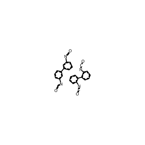 O=C=Nc1cccc(-c2cccc(N=C=O)c2)c1.O=C=Nc1ccccc1-c1ccccc1N=C=O